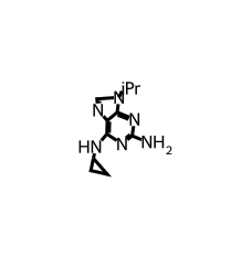 CC(C)n1cnc2c(NC3CC3)nc(N)nc21